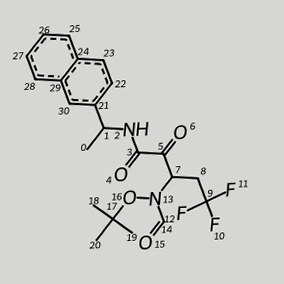 CC(NC(=O)C(=O)C(CC(F)(F)F)N(C=O)OC(C)(C)C)c1ccc2ccccc2c1